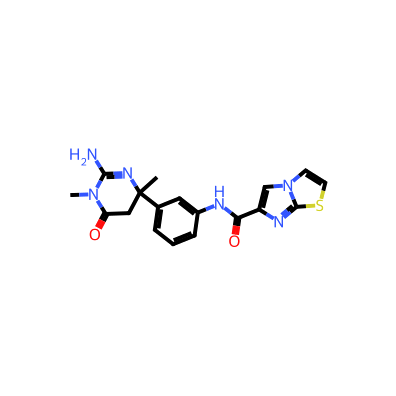 CN1C(=O)CC(C)(c2cccc(NC(=O)c3cn4ccsc4n3)c2)N=C1N